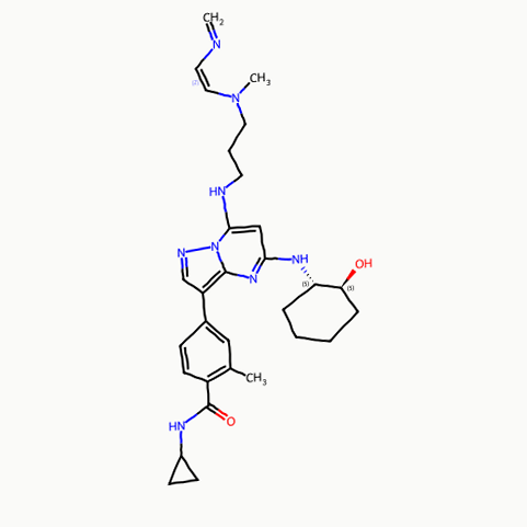 C=N/C=C\N(C)CCCNc1cc(N[C@H]2CCCC[C@@H]2O)nc2c(-c3ccc(C(=O)NC4CC4)c(C)c3)cnn12